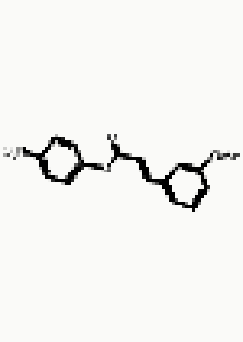 COc1cccc(C=CC(=O)Oc2ccc([N+](=O)[O-])cc2)c1